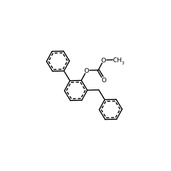 COC(=O)Oc1c(Cc2ccccc2)cccc1-c1ccccc1